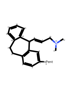 CCCCCc1ccc2c(c1)C(/C=C/CN(C)C)c1ccccc1CC2